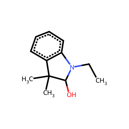 CCN1c2ccccc2C(C)(C)C1O